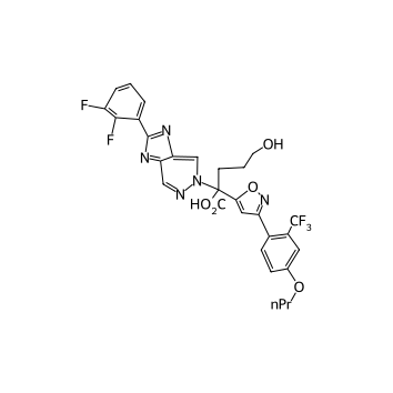 CCCOc1ccc(-c2cc(C(CCCO)(C(=O)O)n3cc4nc(-c5cccc(F)c5F)nc-4cn3)on2)c(C(F)(F)F)c1